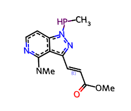 CNc1nccc2c1c(/C=C/C(=O)OC)nn2PC